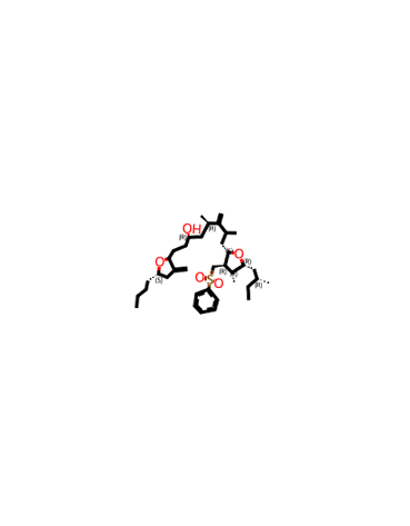 C=C1C[C@H](CCCC)OC1CC[C@@H](O)C[C@@H](C)C(=C)C(C)C[C@@H]1O[C@H](C[C@H](C)CC)[C@H](C)[C@H]1CS(=O)(=O)c1ccccc1